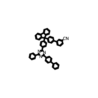 N#Cc1cccc(-c2ccc(C3(c4ccc(-c5nc(-c6ccccc6)nc(-c6ccc(-c7ccccc7)cc6)n5)cc4)c4ccccc4-c4ccccc43)cc2)c1